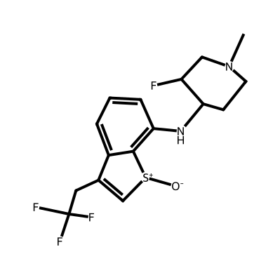 CN1CCC(Nc2cccc3c(CC(F)(F)F)c[s+]([O-])c23)C(F)C1